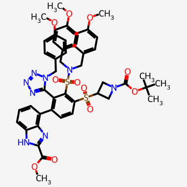 COC(=O)c1nc2c(-c3ccc(S(=O)(=O)C4CN(C(=O)OC(C)(C)C)C4)c(S(=O)(=O)N(Cc4ccc(OC)cc4)Cc4ccc(OC)cc4)c3-c3nnnn3Cc3ccc(OC)cc3)cccc2[nH]1